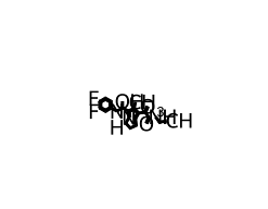 C#CCNC(=O)C(=O)c1c(C)c(C(O)Nc2ccc(F)c(F)c2)n2c1CCC2